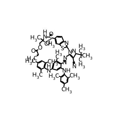 C=CC(=O)OCC(C)(C)NS(=O)(=O)c1ccc2nc(-n3nc(C(C)(C)C)c(C#N)c3N=Nc3c(C)cc(Nc4c(C)cc(C)cc4C)cc3Nc3c(C)cc(C)cc3C)sc2c1